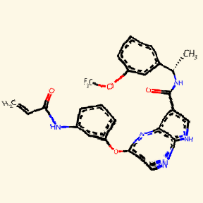 C=CC(=O)Nc1cccc(Oc2cnc3[nH]cc(C(=O)N[C@@H](C)c4cccc(OC(F)(F)F)c4)c3n2)c1